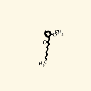 CCCCCCCCC(=O)Cc1ccccc1OC